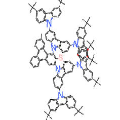 Cc1ccc2c3ccccc3c3cc4c5c(c3c2c1)-n1c2ccc(-n3c6ccc(C(C)(C)C)cc6c6cc(C(C)(C)C)ccc63)cc2c2cc(-n3c6ccc(C(C)(C)C)cc6c6cc(C(C)(C)C)ccc63)cc(c21)B5c1cc(-n2c3ccc(C(C)(C)C)cc3c3cc(C(C)(C)C)ccc32)cc2c3cc(-n5c6ccc(C(C)(C)C)cc6c6cc(C(C)(C)C)ccc65)ccc3n-4c12